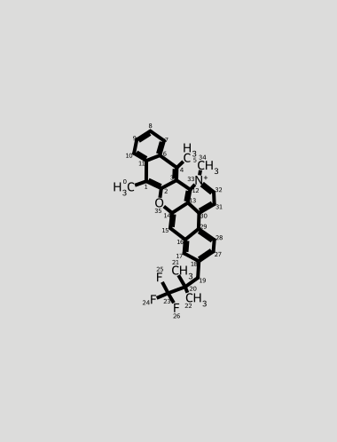 Cc1c2c(c(C)c3ccccc13)-c1c3c(cc4cc(CC(C)(C)C(F)(F)F)ccc4c3cc[n+]1C)O2